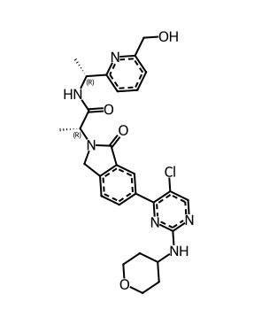 C[C@H](C(=O)N[C@H](C)c1cccc(CO)n1)N1Cc2ccc(-c3nc(NC4CCOCC4)ncc3Cl)cc2C1=O